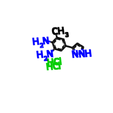 Cc1cc(-c2cc[nH]n2)cc(N)c1N.Cl.Cl